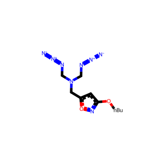 CCCCOc1cc(CN(CN=[N+]=[N-])CN=[N+]=[N-])on1